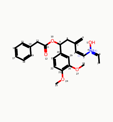 C=C(/C=C\[N+](O)=C/C)CC(OC(=O)Cc1ccccc1)c1ccc(OC)c(OC)c1